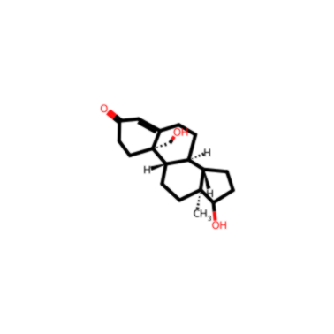 C[C@]12CC[C@H]3[C@@H](CCC4=CC(=O)CC[C@@]43CO)[C@@H]1CCC2O